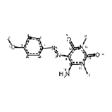 COc1ccc(N=Nc2c(N)n(C)c(=O)n(C)c2=O)cc1